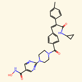 Cc1ccc(C(=Cc2ccc(C(=O)N3CCN(c4ncc(C(=O)NO)cn4)CC3)cc2)C(=O)NC2CC2)cc1